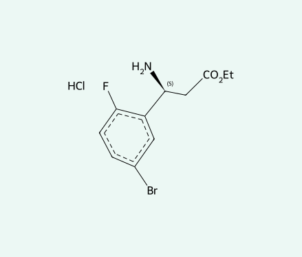 CCOC(=O)C[C@H](N)c1cc(Br)ccc1F.Cl